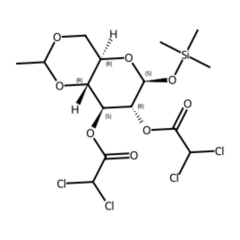 CC1OC[C@H]2O[C@@H](O[Si](C)(C)C)[C@H](OC(=O)C(Cl)Cl)[C@@H](OC(=O)C(Cl)Cl)[C@@H]2O1